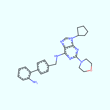 Nc1ccccc1-c1ccc(CNc2nc(N3CCOCC3)nc3c2ncn3C2CCCC2)cc1